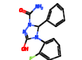 NC(=O)N1N=C(O)N(c2ccccc2F)C1c1ccccc1